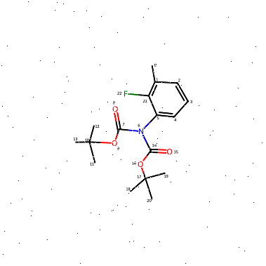 Cc1cccc(N(C(=O)OC(C)(C)C)C(=O)OC(C)(C)C)c1F